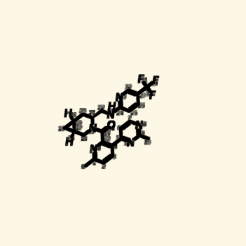 Cc1ccc(-c2ccnc(C)n2)c(C(=O)N2C[C@@H]3C[C@@H]3C[C@H]2CNc2ccc(C(F)(F)F)cn2)n1